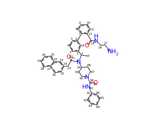 CC(c1cccc(-c2ccccc2C(=O)NCCN)c1)N(C(=O)Cc1ccc2ccccc2c1)C1CCN(C(=O)Nc2ccccc2)CC1